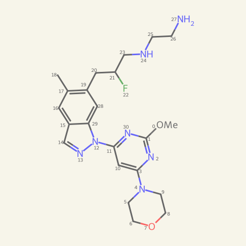 COc1nc(N2CCOCC2)cc(-n2ncc3cc(C)c(CC(F)CNCCN)cc32)n1